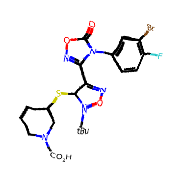 CC(C)(C)N1ON=C(c2noc(=O)n2-c2ccc(F)c(Br)c2)C1SC1CCCN(C(=O)O)C1